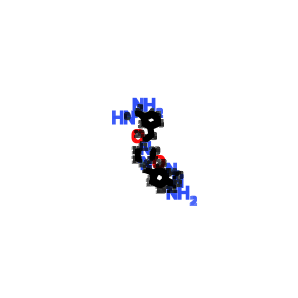 N=C(N)c1cccc(CC(=O)N2CCN(Cc3ccc4c(N)ncnc4c3)C(=O)C2)c1